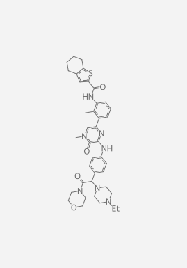 CCN1CCN(C(C(=O)N2CCOCC2)c2ccc(Nc3nc(-c4cccc(NC(=O)c5cc6c(s5)CCCC6)c4C)cn(C)c3=O)cc2)CC1